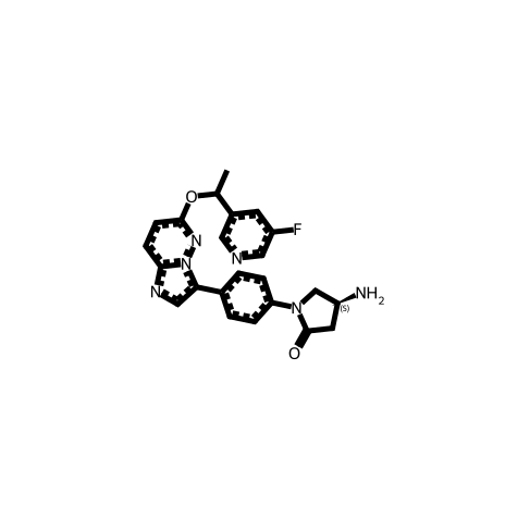 CC(Oc1ccc2ncc(-c3ccc(N4C[C@@H](N)CC4=O)cc3)n2n1)c1cncc(F)c1